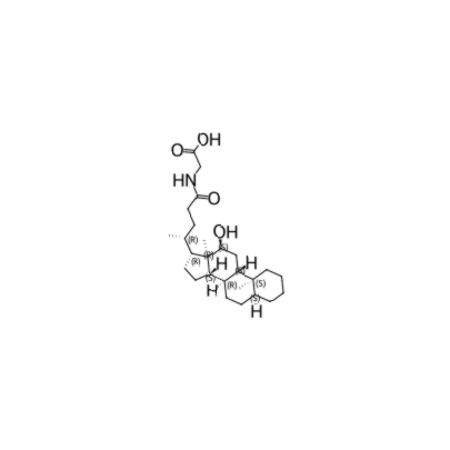 C[C@H](CCC(=O)NCC(=O)O)[C@H]1CC[C@H]2[C@@H]3CC[C@@H]4CCCC[C@]4(C)[C@H]3C[C@H](O)[C@]12C